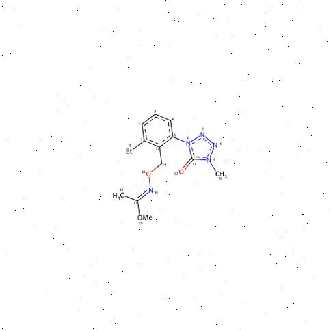 CCc1cccc(-n2nnn(C)c2=O)c1CON=C(C)OC